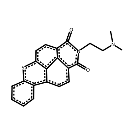 CN(C)CCn1c(=O)c2ccc3sc4ccccc4c4ccc(c1=O)c2c34